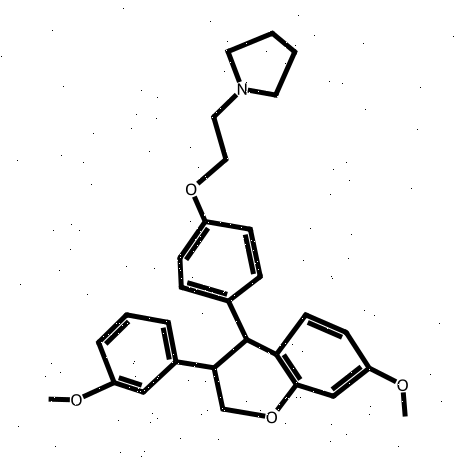 COc1cccc(C2COc3cc(OC)ccc3C2c2ccc(OCCN3CCCC3)cc2)c1